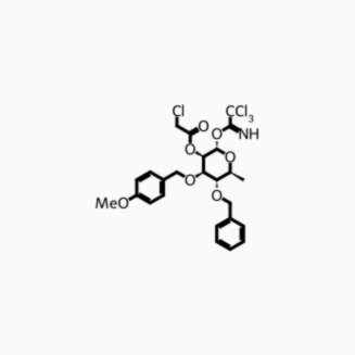 COc1ccc(CO[C@@H]2[C@@H](OCc3ccccc3)[C@H](C)O[C@@H](OC(=N)C(Cl)(Cl)Cl)[C@@H]2OC(=O)CCl)cc1